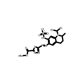 CCCCOC(=O)c1nnc(N=Nc2cc3c(cc2NS(=O)(=O)C(F)(F)F)N(C(CC)CC)C(C)CC3)s1